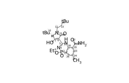 CCOP1(=O)N=C(C2=C(O)[C@H](C(C)(C)C)N(CCC(C)(C)C)C2=O)Nc2c(C(N)=O)cc(C)cc21